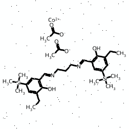 CC(=O)[O-].CC(=O)[O-].CCc1cc([Si](C)(C)C)cc(C=NCCCN=Cc2cc([Si](C)(C)C)cc(CC)c2O)c1O.[Co+2]